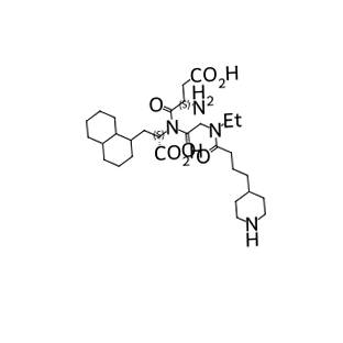 CCN(CC(=O)N(C(=O)[C@@H](N)CC(=O)O)[C@@H](CC1CCCC2CCCCC21)C(=O)O)C(=O)CCCC1CCNCC1